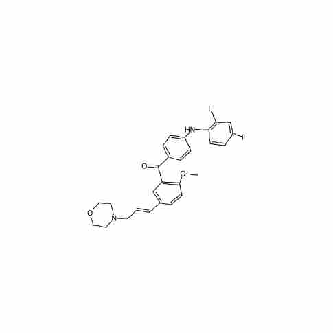 COc1ccc(C=CCN2CCOCC2)cc1C(=O)c1ccc(Nc2ccc(F)cc2F)cc1